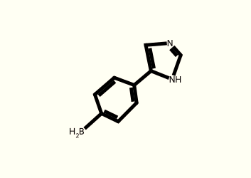 Bc1ccc(-c2cnc[nH]2)cc1